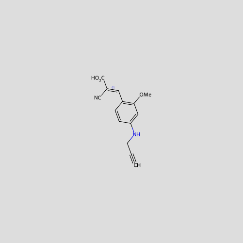 C#CCNc1ccc(/C=C(\C#N)C(=O)O)c(OC)c1